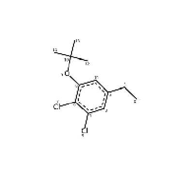 [CH2]Cc1cc(Cl)c(Cl)c(OC(C)(C)C)c1